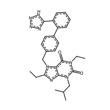 CCc1nc2c(c(=O)n(CC)c(=O)n2CC(C)C)n1Cc1ccc(-c2ccccc2-c2nnn[nH]2)cc1